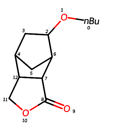 CCCCOC1CC2CC1C1C(=O)OCC21